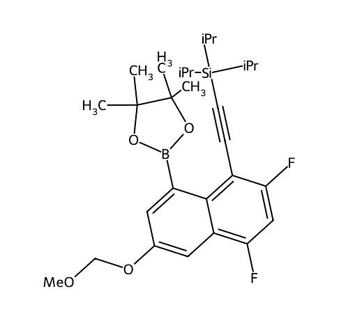 COCOc1cc(B2OC(C)(C)C(C)(C)O2)c2c(C#C[Si](C(C)C)(C(C)C)C(C)C)c(F)cc(F)c2c1